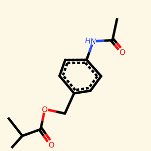 CC(=O)Nc1ccc(COC(=O)C(C)C)cc1